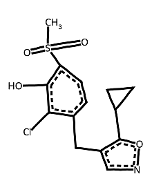 CS(=O)(=O)c1ccc(Cc2cnoc2C2CC2)c(Cl)c1O